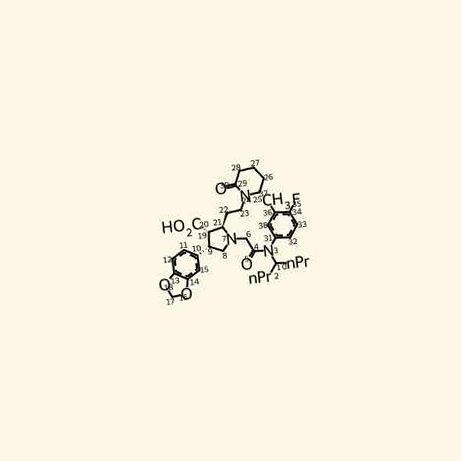 CCCC(CCC)N(C(=O)CN1C[C@H](c2ccc3c(c2)OCO3)[C@H](C(=O)O)[C@H]1CCN1CCCCC1=O)c1ccc(F)c(C)c1